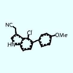 COc1ccc(-c2ccc3[nH]cc(CC#N)c3c2Cl)cc1